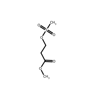 COC(=O)CCOS(C)(=O)=O